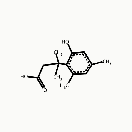 Cc1cc(C)c(C(C)(C)CC(=O)O)c(O)c1